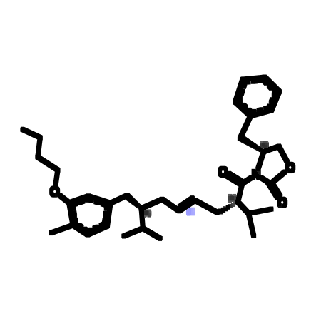 CCCCOc1cc(C[C@@H](C/C=C/C[C@H](C(=O)N2C(=O)OC[C@@H]2Cc2ccccc2)C(C)C)C(C)C)ccc1C